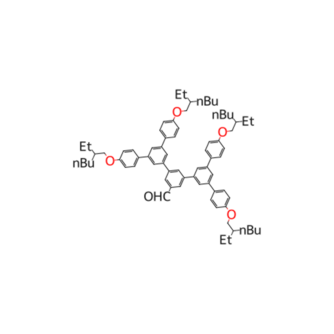 CCCCC(CC)COc1ccc(-c2cc(-c3ccc(OCC(CC)CCCC)cc3)cc(-c3cc(C=O)cc(-c4cc(-c5ccc(OCC(CC)CCCC)cc5)cc(-c5ccc(OCC(CC)CCCC)cc5)c4)c3)c2)cc1